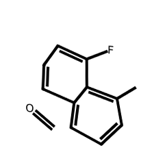 C=O.Cc1cccc2cccc(F)c12